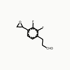 O=CCCc1ccc(C2CO2)c(F)c1F